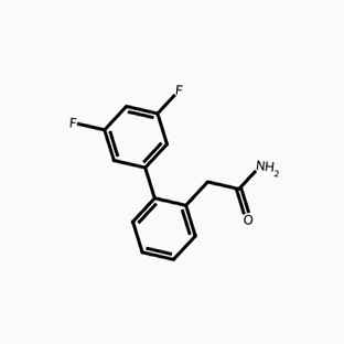 NC(=O)Cc1ccccc1-c1cc(F)cc(F)c1